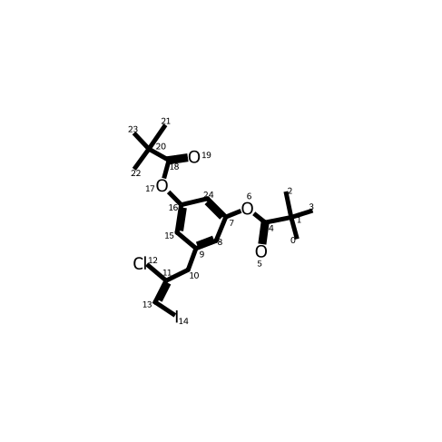 CC(C)(C)C(=O)Oc1cc(C/C(Cl)=C\I)cc(OC(=O)C(C)(C)C)c1